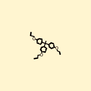 C=CCOc1ccc(C(C)(c2ccc(OCC=C)cc2)c2ccc(OCC=C)cc2)cc1